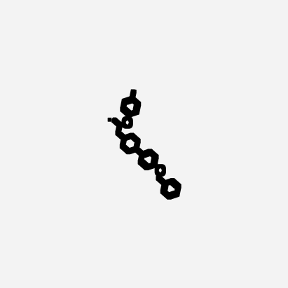 [CH2]C(CC1CCC(c2ccc(OCc3ccccc3)cc2)CC1)Oc1ccc(C)cc1